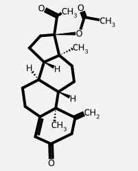 C=C1CC(=O)C=C2CC[C@@H]3[C@H](CC[C@@]4(C)[C@H]3CC[C@]4(OC(C)=O)C(C)=O)[C@@]12C